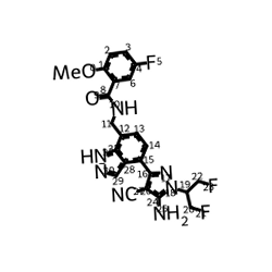 COc1ccc(F)cc1C(=O)NCc1ccc(-c2nn(C(CF)CF)c(N)c2C#N)c2cn[nH]c12